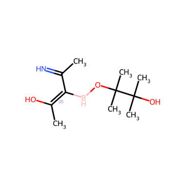 CC(=N)/C(BOC(C)(C)C(C)(C)O)=C(/C)O